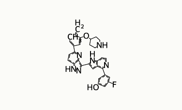 C=C/C(=C\C(=C/C)c1ccc2[nH]nc(-c3cc4c(-c5cc(O)cc(F)c5)nccc4[nH]3)c2n1)OC1CCNCC1